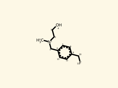 CN(CCO)Cc1ccc(CF)cc1